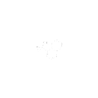 CC1(c2cccc3ccccc23)C=C1